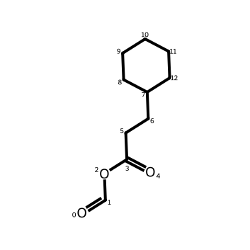 O=COC(=O)CCC1CCCCC1